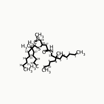 CCCCCCC(C)(CCCCC)CNC(=O)CC(CN(C)C)SCC(C)(CCCCC)CCCCCC